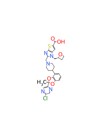 C[C@]1(c2cnc(Cl)cn2)Oc2cccc(C3CCN(Cc4nc5sc(C(=O)O)cc5n4C[C@@H]4CCO4)CC3)c2O1